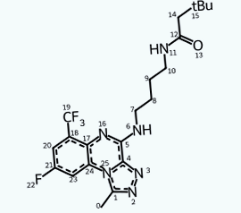 Cc1nnc2c(NCCCCNC(=O)CC(C)(C)C)nc3c(C(F)(F)F)cc(F)cc3n12